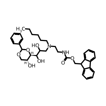 CCCCCCN(CCNC(=O)OCC1c2ccccc2-c2ccccc21)CC(O)C(O)[C@@H]1OC(c2ccccc2)OC[C@H]1O